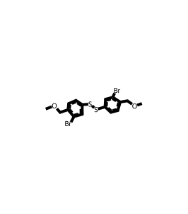 COCc1ccc(SSc2ccc(COC)c(Br)c2)cc1Br